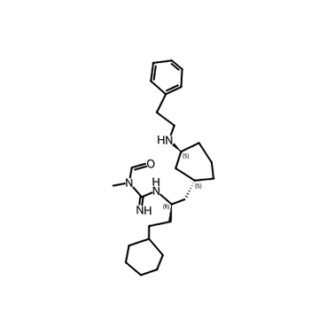 CN(C=O)C(=N)N[C@H](CCC1CCCCC1)C[C@H]1CCC[C@H](NCCc2ccccc2)C1